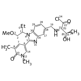 CCC(COC)n1c(-c2cc(C)c(=O)n(C)c2)nc2cc(CN[C@H](C(=O)Cl)[C@@H](C)O)ccc21